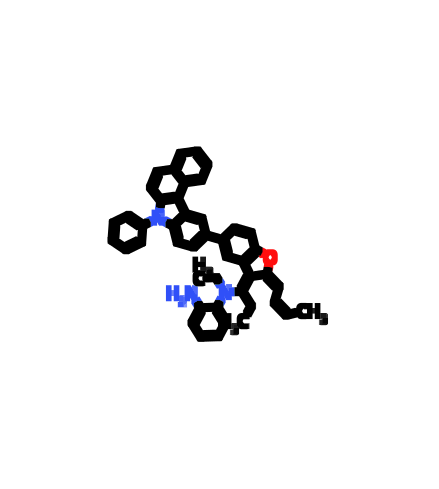 C\C=C/C=c1/oc2ccc(-c3ccc4c(c3)c3c5ccccc5ccc3n4-c3ccccc3)cc2/c1=C(/CC)N(CC)c1ccccc1N